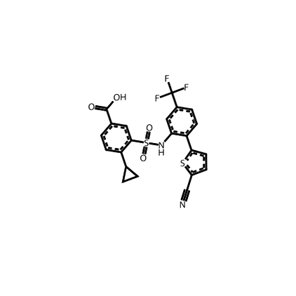 N#Cc1ccc(-c2ccc(C(F)(F)F)cc2NS(=O)(=O)c2cc(C(=O)O)ccc2C2CC2)s1